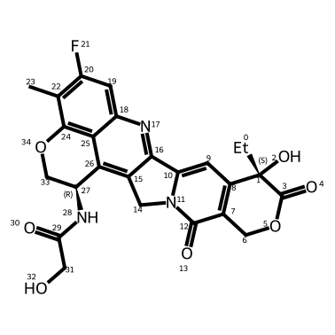 CC[C@@]1(O)C(=O)OCc2c1cc1n(c2=O)Cc2c-1nc1cc(F)c(C)c3c1c2[C@@H](NC(=O)CO)CO3